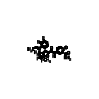 CCOc1c([C@@H]2C(C(=O)NC3=C[C@@H](C(N)=O)[N+](=O)C=C3)O[C@@](C)(C(F)(F)F)[C@@H]2C)ccc(F)c1F